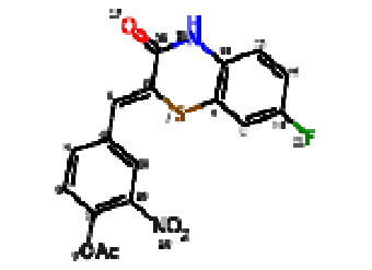 CC(=O)Oc1ccc(/C=C2\Sc3cc(F)ccc3NC2=O)cc1[N+](=O)[O-]